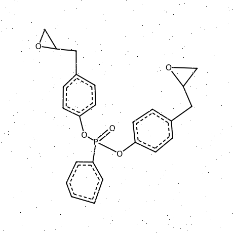 O=P(Oc1ccc(CC2CO2)cc1)(Oc1ccc(CC2CO2)cc1)c1ccccc1